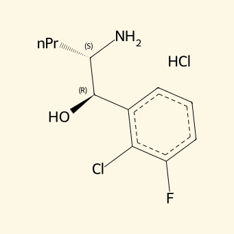 CCC[C@H](N)[C@H](O)c1cccc(F)c1Cl.Cl